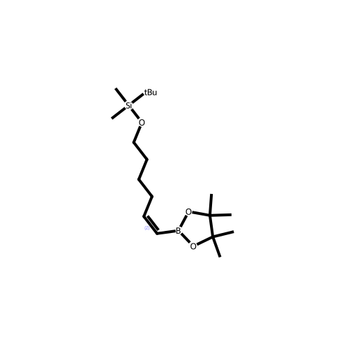 CC1(C)OB(/C=C\CCCCO[Si](C)(C)C(C)(C)C)OC1(C)C